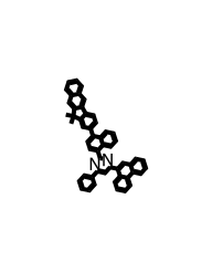 CC1(C)c2cc(-c3ccc(-c4nc(-c5ccccc5)cc(-c5cc6ccccc6c6ccccc56)n4)c4ccccc34)ccc2-c2cc3ccccc3cc21